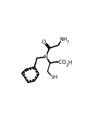 NCC(=O)N(Cc1ccccc1)C(CS)C(=O)O